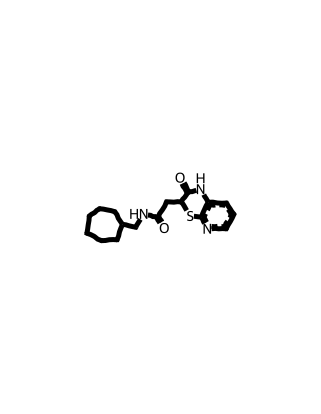 O=C(CC1Sc2ncccc2NC1=O)NCC1CCCCCC1